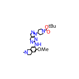 COc1cc2c(cc1Nc1ncc3cnn(C4CCN(C(=O)OC(C)(C)C)CC4)c3n1)CN(C)CC2